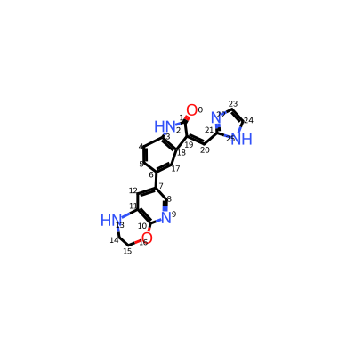 O=C1Nc2ccc(-c3cnc4c(c3)NCCO4)cc2/C1=C/c1ncc[nH]1